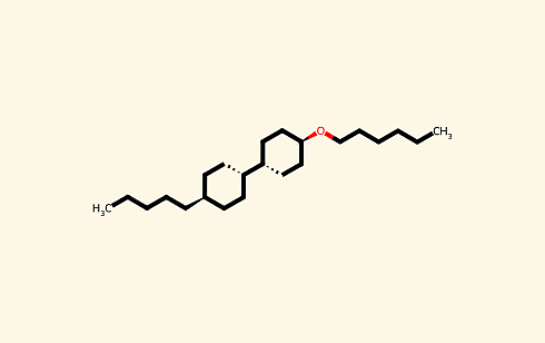 CCCCCCO[C@H]1CC[C@H]([C@H]2CC[C@H](CCCCC)CC2)CC1